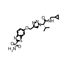 CC(C)[C@@H](C(=O)NCC1CC1)n1cc(COc2ccc3nc(S(N)(=O)=O)sc3c2)nn1